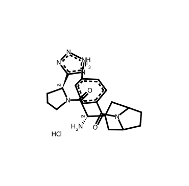 Cl.N[C@H](C(=O)N1CCC[C@H]1c1nn[nH]n1)C1CC2CCC(C1)N2C(=O)c1ccc(C(F)(F)F)cc1